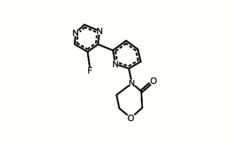 O=C1COCCN1c1cccc(-c2ncncc2F)n1